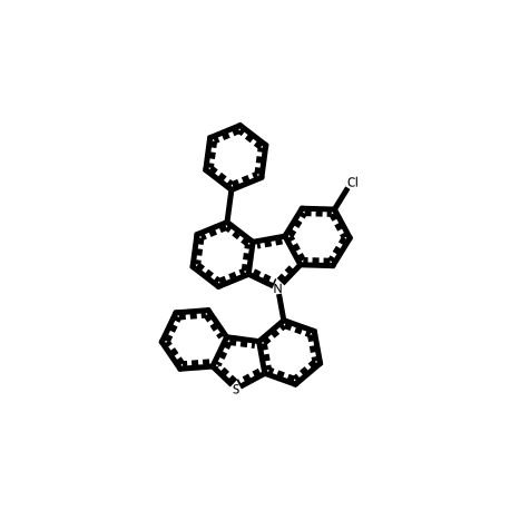 Clc1ccc2c(c1)c1c(-c3ccccc3)cccc1n2-c1cccc2sc3ccccc3c12